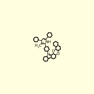 CN1C(c2ccccc2)C=C(c2ccccc2)NC1c1ccc(-n2c3ccccc3c3ccc4c(c32)Oc2c(ccc3ccccc23)O4)cc1